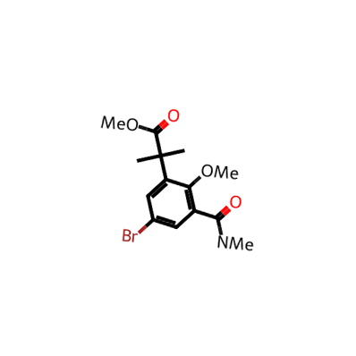 CNC(=O)c1cc(Br)cc(C(C)(C)C(=O)OC)c1OC